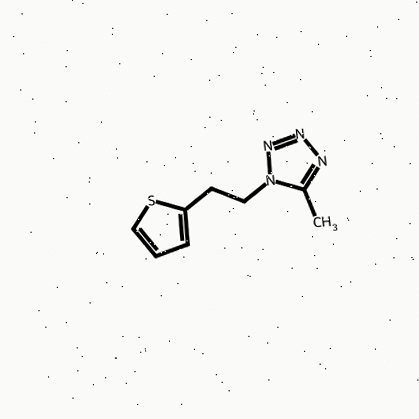 Cc1nnnn1CCc1cccs1